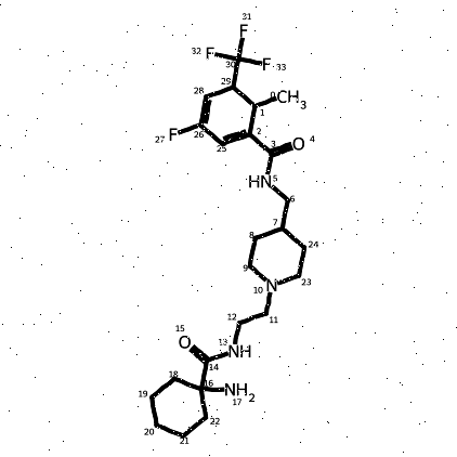 CC1C(C(=O)NCC2CCN(CCNC(=O)C3(N)CCCCC3)CC2)=CC(F)=CC1C(F)(F)F